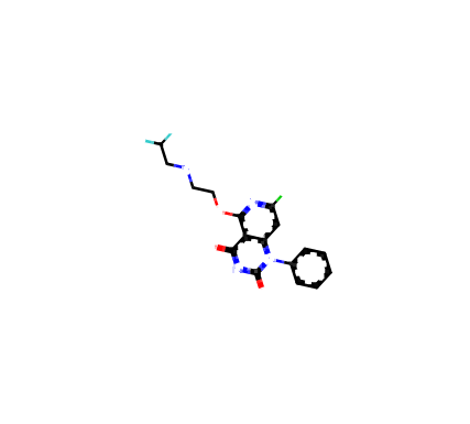 Cl.O=c1[nH]c(=O)n(-c2ccccc2)c2cc(Cl)nc(OCCNCC(F)F)c12